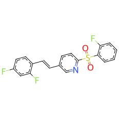 O=S(=O)(c1ccc(C=Cc2ccc(F)cc2F)cn1)c1ccccc1F